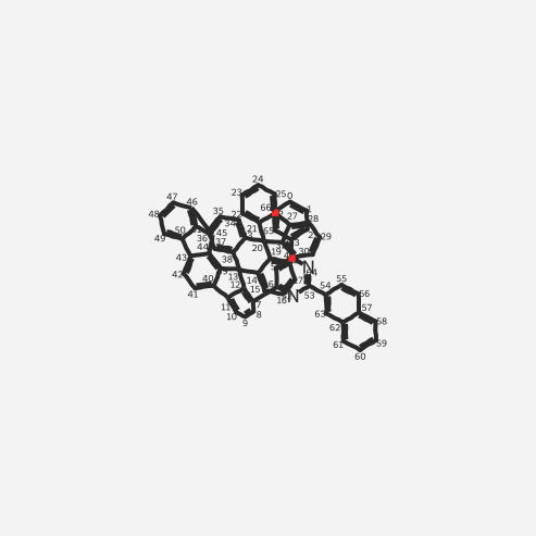 c1ccc(-c2cc(-c3cccc4c3C3(c5ccccc5C5(c6ccccc6-c6ccccc65)c5ccccc53)c3c-4ccc4c3C3c5cccc-4c53)nc(-c3ccc4ccccc4c3)n2)cc1